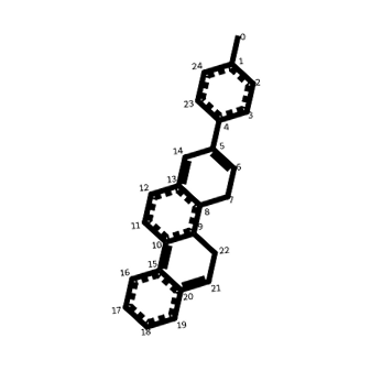 Cc1ccc(C2=CCc3c4c(ccc3=C2)=c2ccccc2=CC4)cc1